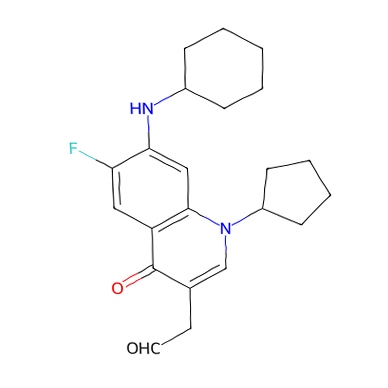 O=CCc1cn(C2CCCC2)c2cc(NC3CCCCC3)c(F)cc2c1=O